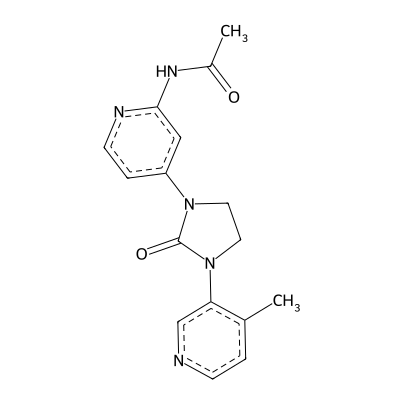 CC(=O)Nc1cc(N2CCN(c3cnccc3C)C2=O)ccn1